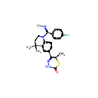 CC/N=C(/c1ccc(F)cc1)N1CCC(C)(C)c2cc(C3=NNC(=O)SC3C)ccc21